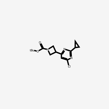 CC(C)(C)OC(=O)N1CC(c2cc(Cl)nc(C3CC3)n2)C1